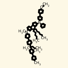 C=COc1ccc(-c2ccc(N(c3ccccc3)c3ccc4c(c3)C(CCCCCC)(CCCCCC)c3cc(N(C)c5ccc(-c6ccc(C(C)(CC(C)C)c7ccc(-c8ccc(C)cc8)cc7)cc6)cc5)ccc3-4)cc2)cc1